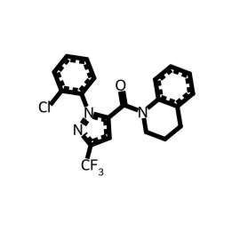 O=C(c1cc(C(F)(F)F)nn1-c1ccccc1Cl)N1CCCc2ccccc21